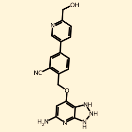 N#Cc1cc(-c2ccc(CO)nc2)ccc1COc1cc(N)nc2c1NNN2